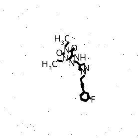 CCCn1c(=O)c2[nH]c(-c3cnn(CCC#Cc4cccc(F)c4)c3)nc2n(CCC)c1=O